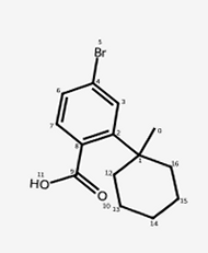 CC1(c2cc(Br)ccc2C(=O)O)CCCCC1